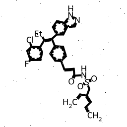 C=C/C=C(\C=C)CS(=O)(=O)NC(=O)/C=C/c1ccc(/C(=C(/CC)c2ccc(F)cc2Cl)c2ccc3[nH]ncc3c2)cc1